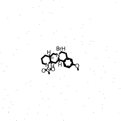 Br.COc1ccc2c(c1)CCN1C[C@H]3CCCN(S(C)(=O)=O)[C@H]3C[C@@H]21